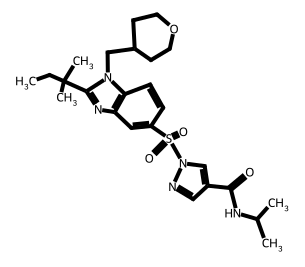 CCC(C)(C)c1nc2cc(S(=O)(=O)n3cc(C(=O)NC(C)C)cn3)ccc2n1CC1CCOCC1